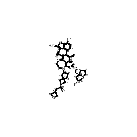 N#Cc1c(N)sc2c(F)ccc(-c3c(Cl)c4c5c(nc(OC[C@@]67CCCN6C[C@H](F)C7)nc5c3F)N(C3CCC5(C3)CN(C(=O)CC3COC3)C5)CCO4)c12